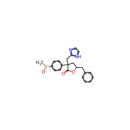 C[S+]([O-])c1ccc(C2(Cc3ncc[nH]3)CC(Cc3ccccc3)OC2=O)cc1